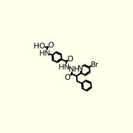 O=C(O)Nc1ccc(C(=O)NNC(=O)C(Cc2ccccc2)c2ccc(Br)cn2)cc1